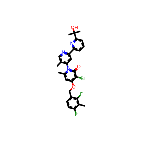 Cc1cnc(-c2cccc(C(C)(C)O)n2)cc1-n1c(C)cc(OCc2ccc(F)c(C)c2F)c(Br)c1=O